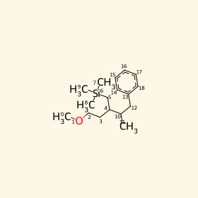 COCCC(C[Si](C)(C)C)C(C)Cc1ccccc1